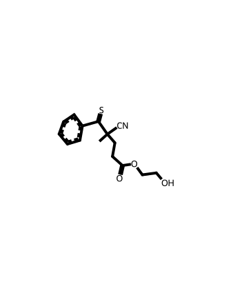 CC(C#N)(CCC(=O)OCCO)C(=S)c1ccccc1